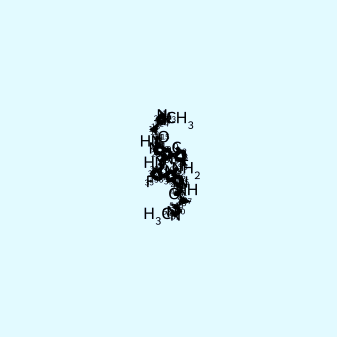 Cc1ccc(F)cc1-c1cc2cc(NC(=O)[C@@H]3C[C@H]3c3cnn(C)c3)ncc2c(NCc2ccc(F)cc2-c2cc3cc(NC(=O)[C@H]4C[C@@H]4c4cnn(C)c4)ncc3c(N)n2)n1